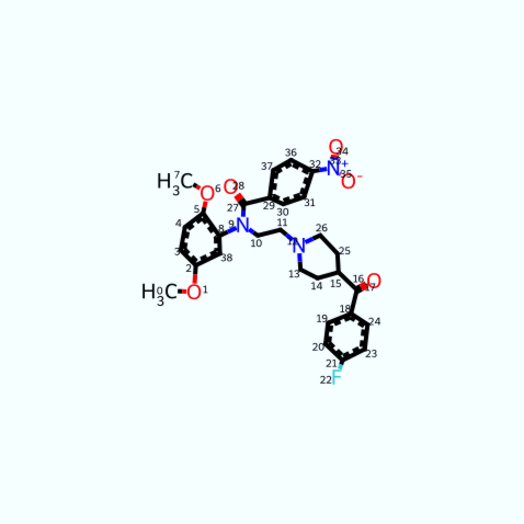 COc1ccc(OC)c(N(CCN2CCC(C(=O)c3ccc(F)cc3)CC2)C(=O)c2ccc([N+](=O)[O-])cc2)c1